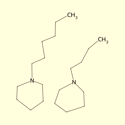 CCCCCCN1CCCCC1.CCCCN1CCCCC1